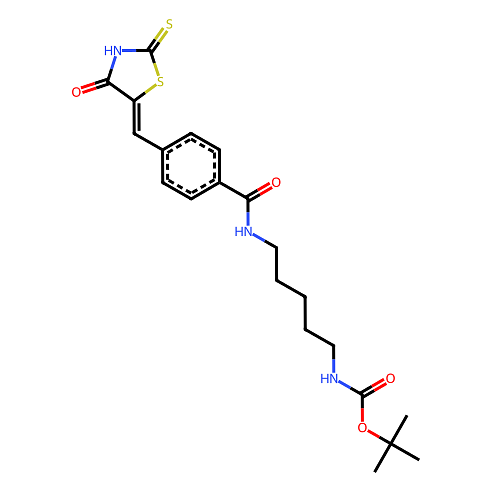 CC(C)(C)OC(=O)NCCCCCNC(=O)c1ccc(/C=C2\SC(=S)NC2=O)cc1